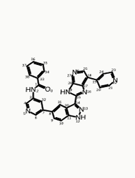 O=C(Nc1cncc(-c2ccc3[nH]nc(-c4nc5c(-c6ccncc6)cncc5[nH]4)c3c2)c1)c1ccccc1